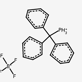 F[B-](F)(F)F.[PH3+]C(c1ccccc1)(c1ccccc1)c1ccccc1